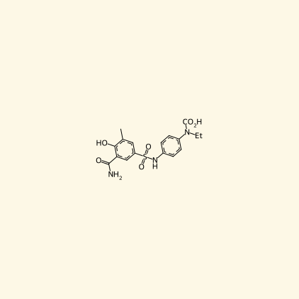 CCN(C(=O)O)c1ccc(NS(=O)(=O)c2cc(C)c(O)c(C(N)=O)c2)cc1